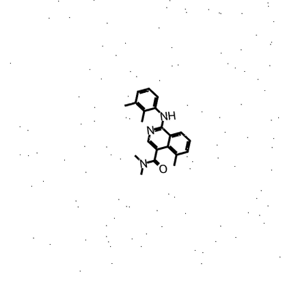 Cc1cccc(Nc2ncc(C(=O)N(C)C)c3c(C)cccc23)c1C